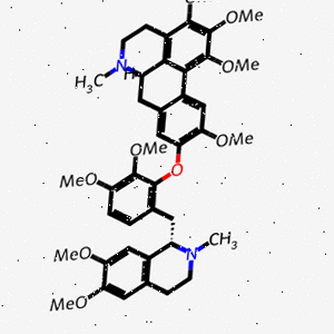 COc1cc2c(cc1OC)[C@H](Cc1ccc(OC)c(OC)c1Oc1cc3c(cc1OC)-c1c(OC)c(OC)c(OC)c4c1[C@H](C3)N(C)CC4)N(C)CC2